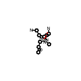 N#Cc1cccc(-c2ccc3c(c2)c2cc(-c4cccc(C#N)c4)ccc2n3-c2ccc(-c3ccc4c(c3)oc3ccccc34)cc2-c2nc(-c3ccccc3)nc(-c3ccccc3)n2)c1